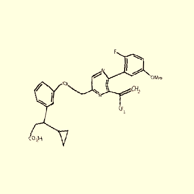 C=C(c1nc(COc2cccc(C(CC(=O)O)C3CC3)c2)cnc1-c1cc(OC)ccc1F)C(F)(F)F